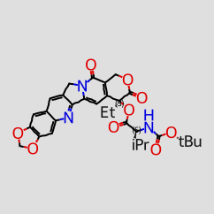 CC[C@@]1(OC(=O)[C@@H](NC(=O)OC(C)(C)C)C(C)C)C(=O)OCc2c1cc1n(c2=O)Cc2cc3cc4c(cc3nc2-1)OCO4